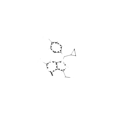 O=c1[nH]c(O)nc2c1c(CC(F)(F)F)nn2[C@@H](c1ccc(C(F)(F)F)cc1)C1CC1